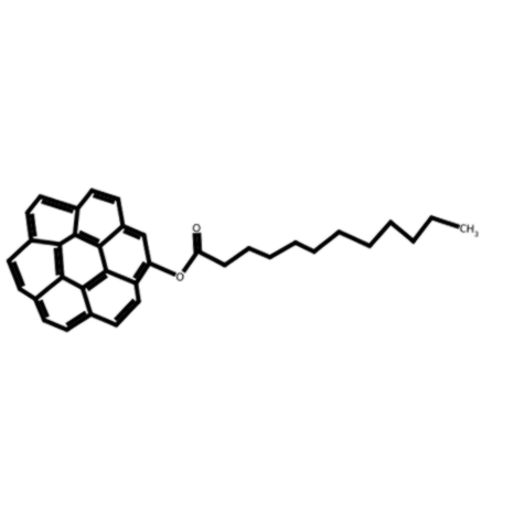 CCCCCCCCCCCC(=O)Oc1cc2ccc3ccc4ccc5ccc6ccc1c1c6c5c4c3c21